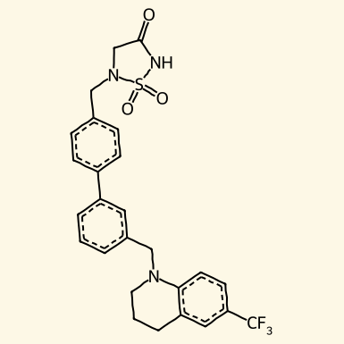 O=C1CN(Cc2ccc(-c3cccc(CN4CCCc5cc(C(F)(F)F)ccc54)c3)cc2)S(=O)(=O)N1